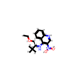 CCOC[C@@H](Nc1c([N+](=O)[O-])cnc2ccccc12)C(C)(C)C